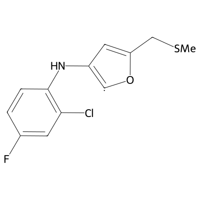 CSCc1cc(Nc2ccc(F)cc2Cl)[c]o1